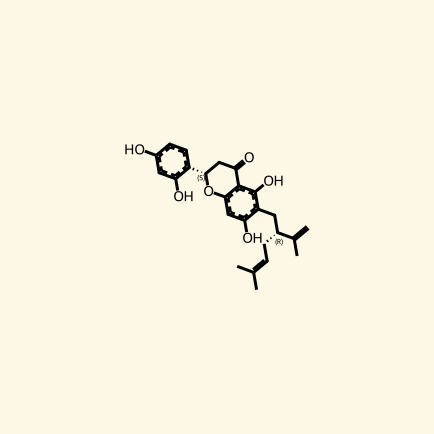 C=C(C)[C@H](CC=C(C)C)Cc1c(O)cc2c(c1O)C(=O)C[C@@H](c1ccc(O)cc1O)O2